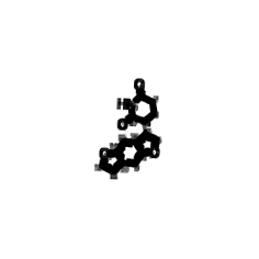 O=C1CC[C@H](c2coc3cc4ccoc4cc23)C(=O)N1